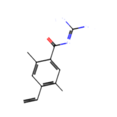 C=Cc1cc(C)c(C(=O)N=C(N)N)cc1C(F)(F)F